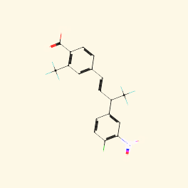 O=C(O)c1ccc(C=CC(c2ccc(Cl)c([N+](=O)[O-])c2)C(F)(F)F)cc1C(F)(F)F